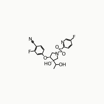 CC(O)[C@]1(O)CN(S(=O)(=O)c2ccc(F)cn2)C[C@@H]1Oc1ccc(C#N)c(F)c1